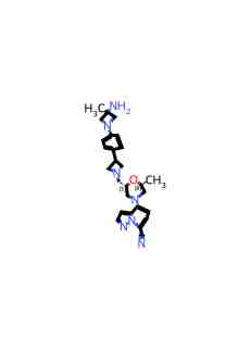 C[C@@H]1CN(c2ccc(C#N)n3nccc23)C[C@H](CN2CC(c3ccc(N4CC(C)(N)C4)cc3)C2)O1